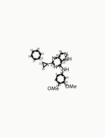 COc1ccc(Nc2nc([C@H]3C[C@@H]3c3ccccc3)nc3cn[nH]c23)cc1OC